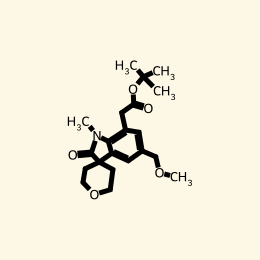 COCc1cc(CC(=O)OC(C)(C)C)c2c(c1)C1(CCOCC1)C(=O)N2C